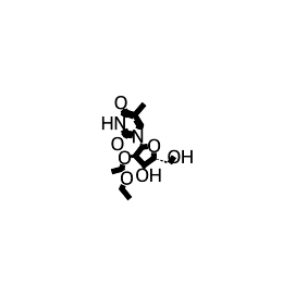 CCOC(C)O[C@@H]1[C@H](O)[C@@H](CO)O[C@H]1n1cc(C)c(=O)[nH]c1=O